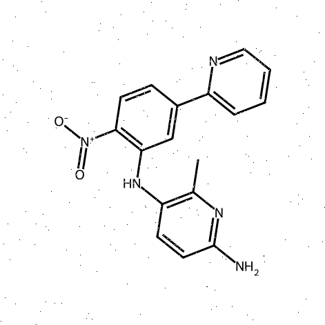 Cc1nc(N)ccc1Nc1cc(-c2ccccn2)ccc1[N+](=O)[O-]